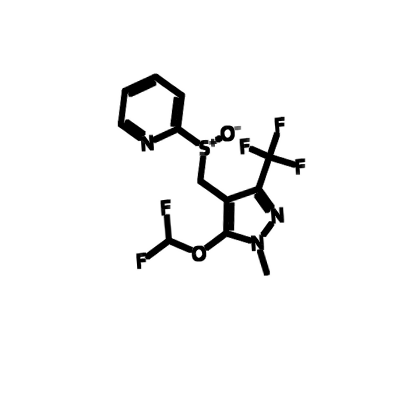 Cn1nc(C(F)(F)F)c(C[S+]([O-])c2ccccn2)c1OC(F)F